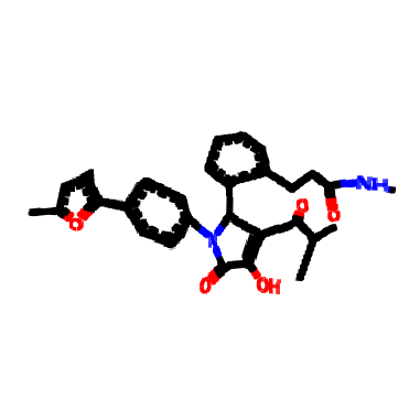 CNC(=O)CCc1ccccc1C1C(C(=O)C(C)C)=C(O)C(=O)N1c1ccc(-c2ccc(C)o2)cc1